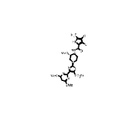 CCOC(=O)c1sc(N2CC[C@@H](NC(=O)c3[nH]c(C)c(Cl)c3Cl)[C@@H](OC)C2)nc1C1=NC(OC)CC(OC)=N1